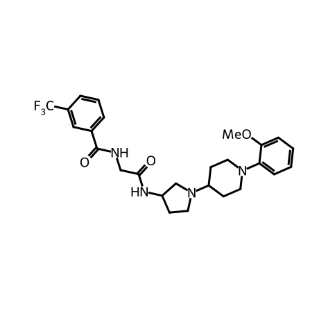 COc1ccccc1N1CCC(N2CCC(NC(=O)CNC(=O)c3cccc(C(F)(F)F)c3)C2)CC1